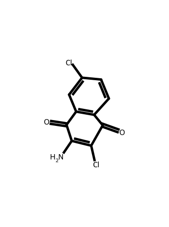 NC1=C(Cl)C(=O)c2ccc(Cl)cc2C1=O